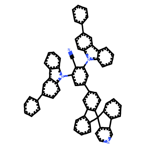 N#Cc1c(-n2c3ccccc3c3cc(-c4ccccc4)ccc32)cc(-c2ccc3c(c2)-c2ccccc2C32c3ccccc3-c3cnccc32)cc1-n1c2ccccc2c2cc(-c3ccccc3)ccc21